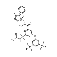 CN1N=C2CCN(C(=O)[C@@H](CCOc3cc(C(F)(F)F)cc(C(F)(F)F)c3)NC(=O)C(C)(C)NC(=O)O)C[C@@]2(Cc2ccccc2)C1=O